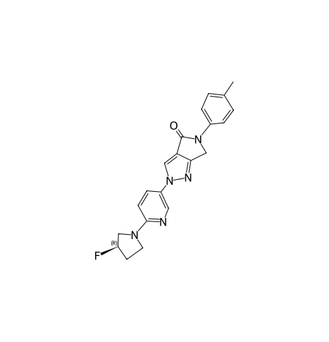 Cc1ccc(N2Cc3nn(-c4ccc(N5CC[C@@H](F)C5)nc4)cc3C2=O)cc1